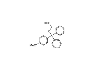 COc1ccc(C(OC[C]=O)(c2ccccc2)c2ccccc2)cc1